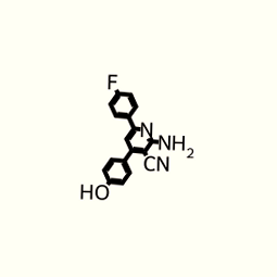 N#Cc1c(-c2ccc(O)cc2)cc(-c2ccc(F)cc2)nc1N